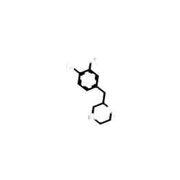 Oc1cc(CC2CNCCO2)ccc1Br